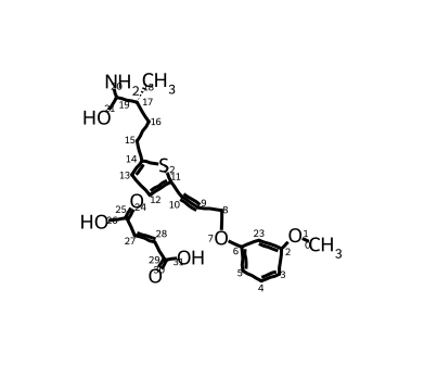 COc1cccc(OCC#Cc2ccc(CC[C@@H](C)C(N)O)s2)c1.O=C(O)C=CC(=O)O